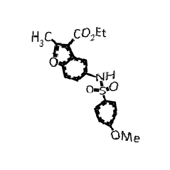 CCOC(=O)c1c(C)oc2ccc(NS(=O)(=O)c3ccc(OC)cc3)cc12